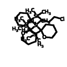 C[Si](C)(C)C1([Si](CCCCl)(C2([Si](C)(C)C)CCCCO2)C2([Si](C)(C)C)CCCCO2)CCCCO1